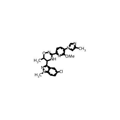 COc1nc(C2=NOC(C)C(c3nn(C)c4ccc(Cl)cc34)N2)ccc1-n1cnc(C)c1